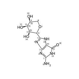 Nc1nc2nc(C3OC[C@H](O)[C@H](O)[C@@H]3O)[nH]c2c(=O)[nH]1